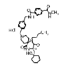 CCCCN1C(=O)[C@@H](CC2(O)CCCCC2)NC(=O)C12CCN(Cc1ccc(CNC(=O)c3ccc(C(=O)NC)cc3)cc1)CC2.Cl